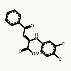 COC(=O)C(=CC(=O)c1ccccc1)Nc1ccc(Cl)c(Cl)c1